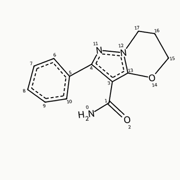 NC(=O)c1c(-c2ccccc2)nn2c1OCCC2